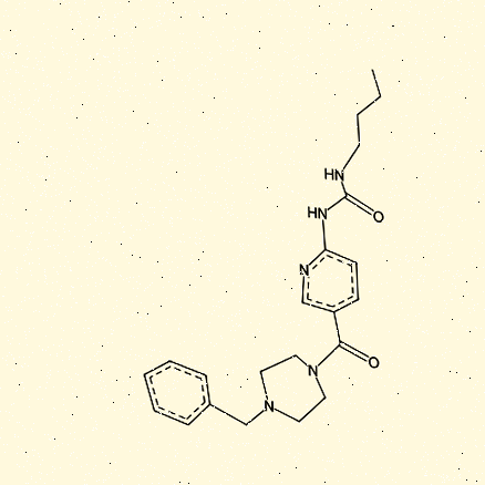 CCCCNC(=O)Nc1ccc(C(=O)N2CCN(Cc3ccccc3)CC2)cn1